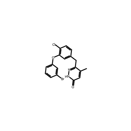 Cc1cc(=O)[nH]nc1Cc1ccc(Cl)c(Oc2cccc(Br)c2)c1